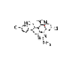 Cn1cncc1-c1c(CO)c(-c2ccc(Cl)cc2)cc2nc(N)nc(-c3cccc(Cl)c3)c12